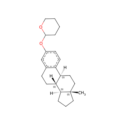 C[C@@]12CCC[C@H]1[C@@H]1CCc3cc(OC4CCCCO4)ccc3[C@H]1CC2